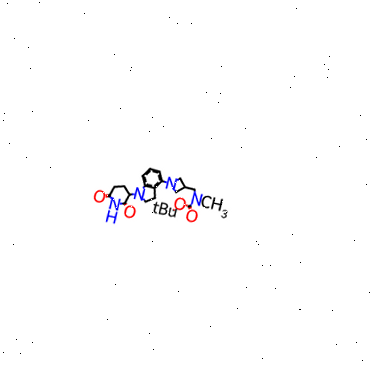 CN(CC1CN(c2cccc3c2CCN3C2CCC(=O)NC2=O)C1)C(=O)OC(C)(C)C